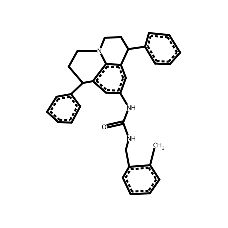 Cc1ccccc1CNC(=O)Nc1cc2c3c(c1)C(c1ccccc1)CCN3CCC2c1ccccc1